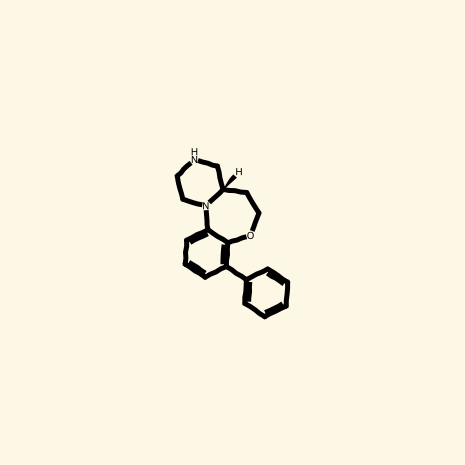 c1ccc(-c2cccc3c2OCC[C@H]2CNCCN32)cc1